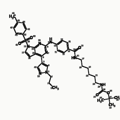 CCCn1cc(-c2nc(Nc3ccc(C(=O)NCCCCCCNC(=O)OC(C)(C)C)cc3)nc3c2ccn3S(=O)(=O)c2ccc(C)cc2)cn1